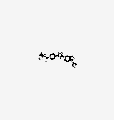 CC1(OC(=O)N2CCC(c3noc(N4CCc5c(cnn5C5COC5)C4)n3)CC2)CC1